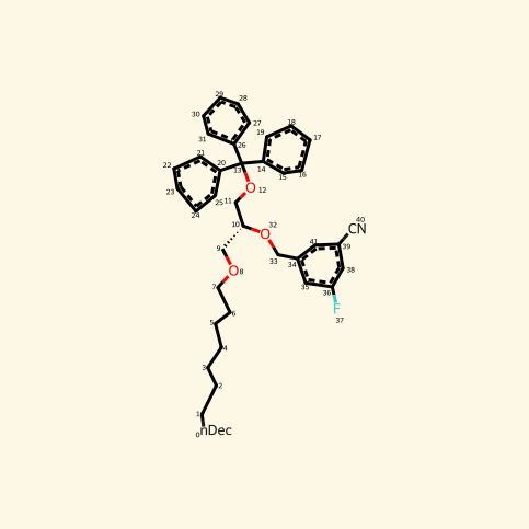 CCCCCCCCCCCCCCCCCOC[C@H](COC(c1ccccc1)(c1ccccc1)c1ccccc1)OCc1cc(F)cc(C#N)c1